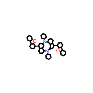 c1ccc(-n2c3cc(-c4cccc5c4oc4ccccc45)c4cccc(c4c3)n(-c3ccccc3)c3cc(-c4cccc5c4oc4ccccc45)c4cccc2c4c3)cc1